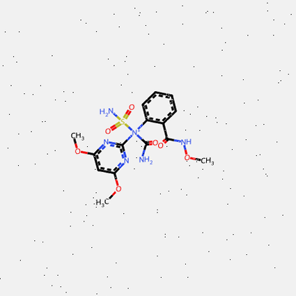 CONC(=O)c1ccccc1[N+](C(N)=O)(c1nc(OC)cc(OC)n1)S(N)(=O)=O